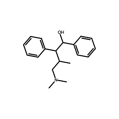 CC(CN(C)C)C(c1ccccc1)C(O)c1ccccc1